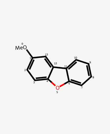 [CH2-][OH+]c1ccc2oc3ccccc3c2c1